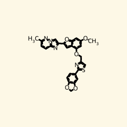 COc1cc(OCc2csc(-c3ccc4c(c3)OCO4)n2)c2cc(-c3cn4nc(C)ccc4n3)oc2c1